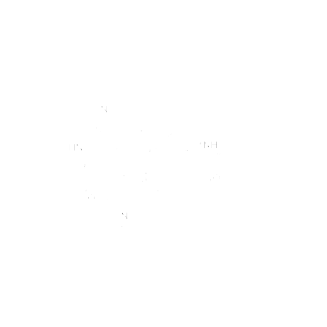 C=CC(=O)NC1CCC=C(c2ccnc3[nH]cc(-c4cccnc4O)c23)C1